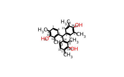 Cc1cc(C(c2ccc(C)c(O)c2C)c2ccc(C)c(O)c2C)cc(C)c1O